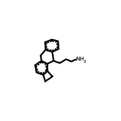 NCCCC1c2ccccc2Cc2ccc3c(c21)CC3